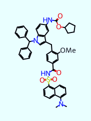 COc1cc(C(=O)NS(=O)(=O)c2cccc3c(N(C)C)cccc23)ccc1Cc1cn(C(c2ccccc2)c2ccccc2)c2ccc(NC(=O)OC3CCCC3)cc12